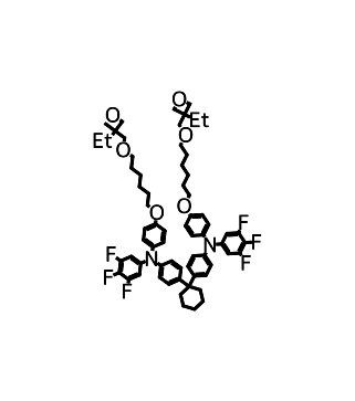 CCC1(COCCCCCCOc2ccc(N(c3ccc(C4(c5ccc(N(c6ccc(OCCCCCCOCC7(CC)COC7)cc6)c6cc(F)c(F)c(F)c6)cc5)CCCCC4)cc3)c3cc(F)c(F)c(F)c3)cc2)COC1